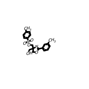 Cc1ccc(S(=O)(=O)OCC2(CO)COC(c3cccc(C)c3)=N2)cc1